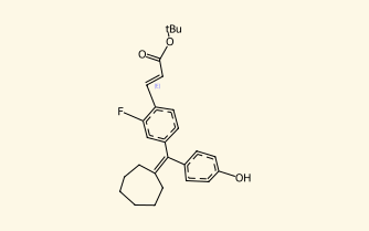 CC(C)(C)OC(=O)/C=C/c1ccc(C(=C2CCCCCC2)c2ccc(O)cc2)cc1F